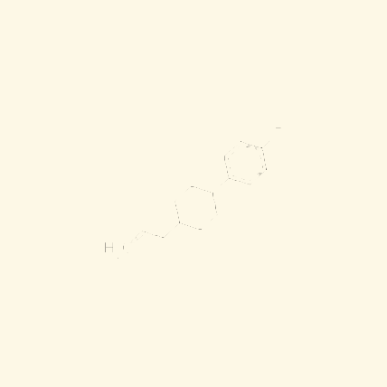 C=CCC1CCC(c2ccc(F)cc2)CC1